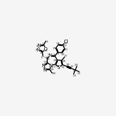 Cc1nnc(C[C@@H]2N=C(c3ccc(Cl)cc3)c3c(sc(C#CC(C)(C)C)c3C)-n3c(C)nnc32)o1